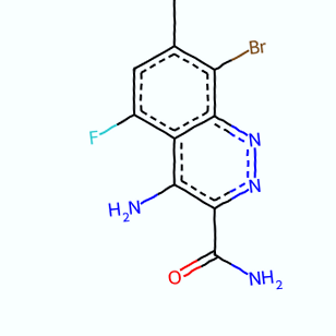 Cc1cc(F)c2c(N)c(C(N)=O)nnc2c1Br